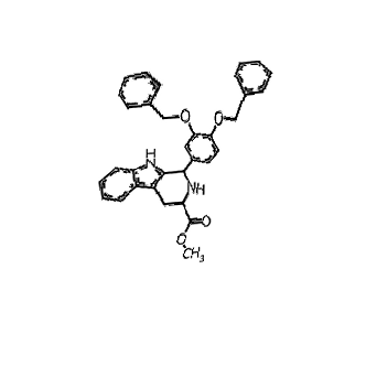 COC(=O)C1Cc2c([nH]c3ccccc23)C(c2ccc(OCc3ccccc3)c(OCc3ccccc3)c2)N1